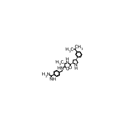 CC(C)c1cccc([C@H]2CN[C@@H](C(=O)N[C@@H](C)C(=O)NCc3ccc(C(=N)N)cc3)C2)c1